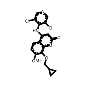 COc1ccc2c(Nc3c(Cl)cncc3Cl)cc(=O)oc2c1OCC1CC1